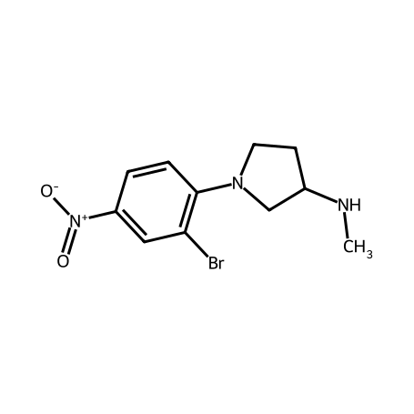 CNC1CCN(c2ccc([N+](=O)[O-])cc2Br)C1